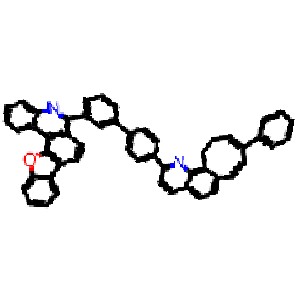 C1=C\c2ccc3ccc(-c4ccc(-c5cccc(-c6nc7ccccc7c7c6ccc6c8ccccc8oc67)c5)cc4)nc3c2CC\C=C/1c1ccccc1